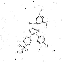 NS(=O)(=O)c1ccc(-c2sc(C(=O)N3CC(CF)OC(CF)C3)nc2-c2ccc(Cl)cc2)cc1